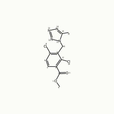 COC(=O)c1ccc(Cl)c(Cn2nnnc2C)c1Cl